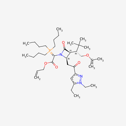 C=CCOC(=O)C(N1C(=O)[C@@H]([C@@H](CO[SiH](C)C)C(C)(C)C)[C@H]1CC(=O)c1cc(CC)n(CC)n1)=P(CCCC)(CCCC)CCCC